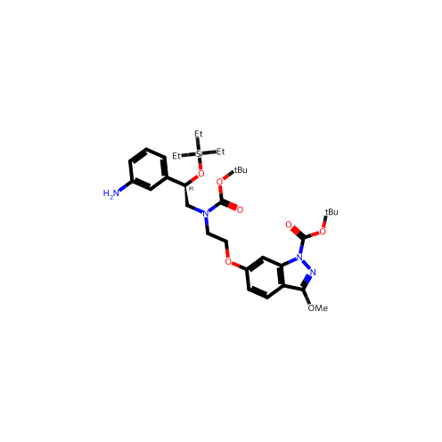 CC[Si](CC)(CC)O[C@@H](CN(CCOc1ccc2c(OC)nn(C(=O)OC(C)(C)C)c2c1)C(=O)OC(C)(C)C)c1cccc(N)c1